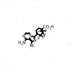 Nc1nccn2c(C34CCC(C(=O)O)(CC3(F)F)C(F)(F)C4)nc(Br)c12